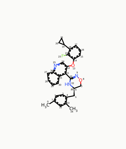 Cc1ccc(C[C@@H]2CON=C(c3c(Oc4cccc(C5CC5)c4F)cnc4ccccc34)N2)c(C)c1